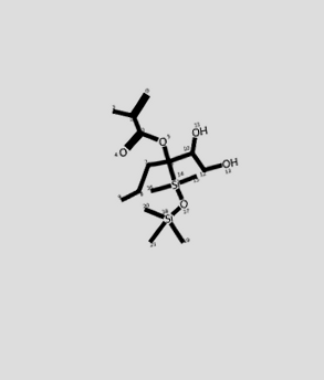 C=C(C)C(=O)OC(CCC)(C(O)CO)[Si](C)(C)O[Si](C)(C)C